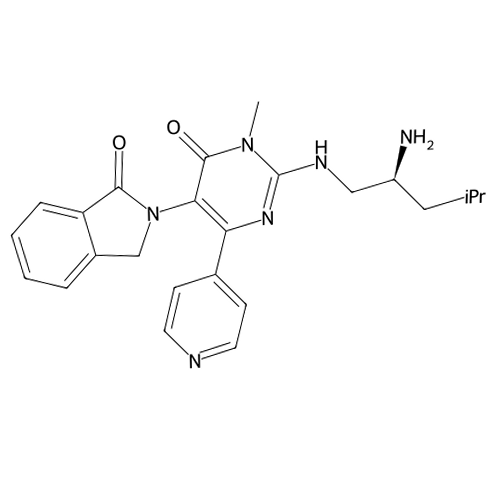 CC(C)C[C@H](N)CNc1nc(-c2ccncc2)c(N2Cc3ccccc3C2=O)c(=O)n1C